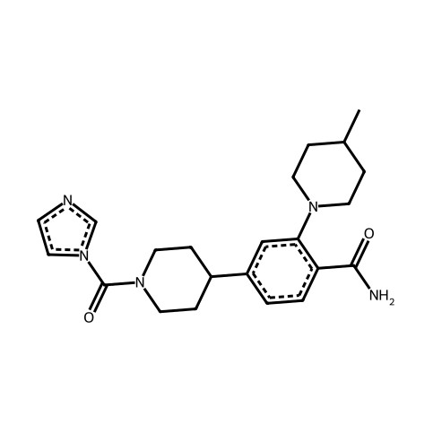 CC1CCN(c2cc(C3CCN(C(=O)n4ccnc4)CC3)ccc2C(N)=O)CC1